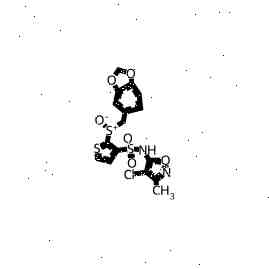 Cc1noc(NS(=O)(=O)c2ccsc2[S+]([O-])Cc2ccc3c(c2)OCO3)c1Cl